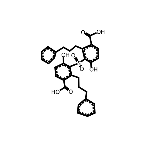 O=C(O)c1ccc(O)c(S(=O)(=O)c2c(O)ccc(C(=O)O)c2CCCc2ccccc2)c1CCCc1ccccc1